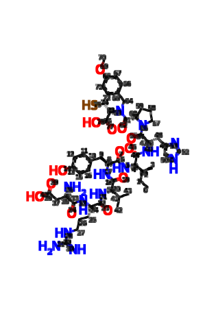 CC[C@H](C)[C@H](NC(=O)[C@H](Cc1ccc(O)cc1)NC(=O)[C@@H](NC(=O)[C@H](CCCNC(=N)N)NC(=O)[C@@H](N)CC(=O)O)C(C)C)C(=O)N[C@@H](Cc1c[nH]cn1)C(=O)N1CCC[C@H]1C(=O)N(Cc1ccc(OC)cc1)[C@@H](CS)C(=O)O